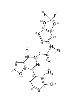 CCN(C(=O)Cn1nc(-c2cccc(Cl)c2C)c2occc2c1=O)c1ccc2c(c1)OC(F)(F)O2